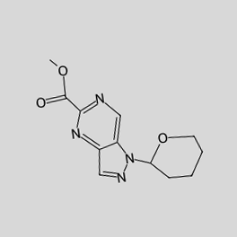 COC(=O)c1ncc2c(cnn2C2CCCCO2)n1